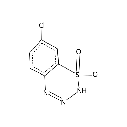 O=S1(=O)NN=Nc2ccc(Cl)cc21